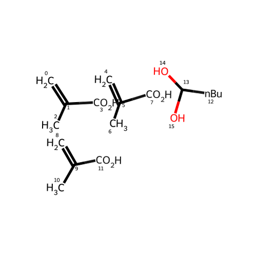 C=C(C)C(=O)O.C=C(C)C(=O)O.C=C(C)C(=O)O.CCCCC(O)O